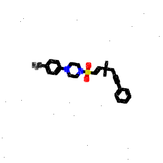 CC(C)(C=CS(=O)(=O)N1CCN(c2ccc(C(F)(F)F)cc2)CC1)CC#Cc1ccccc1